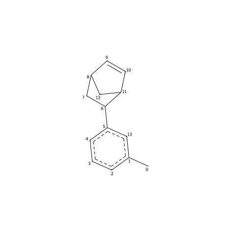 Cc1cccc(C2CC3C=CC2C3)c1